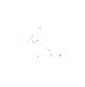 COCC1CN(c2nc(OC)nc3c2CCNC3)CCN1C(=O)OC(C)(C)C